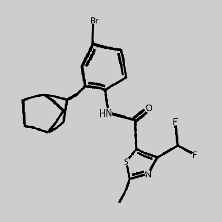 Cc1nc(C(F)F)c(C(=O)Nc2ccc(Br)cc2C2CC3CCC2C3)s1